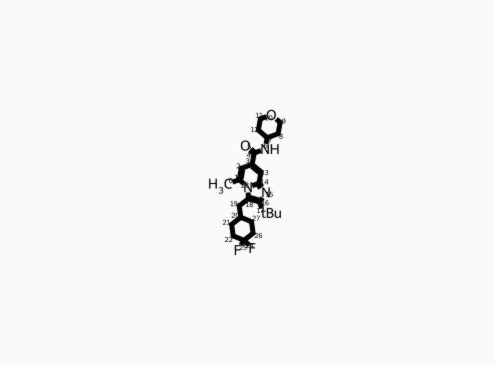 Cc1cc(C(=O)NC2CCOCC2)cc2nc(C(C)(C)C)c(CC3CCC(F)(F)CC3)n12